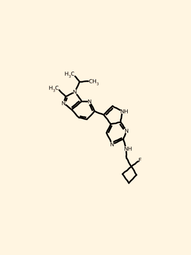 Cc1nc2ccc(-c3c[nH]c4nc(NCC5(F)CCC5)ncc34)nc2n1C(C)C